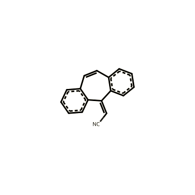 N#CC=C1c2ccccc2C=Cc2ccccc21